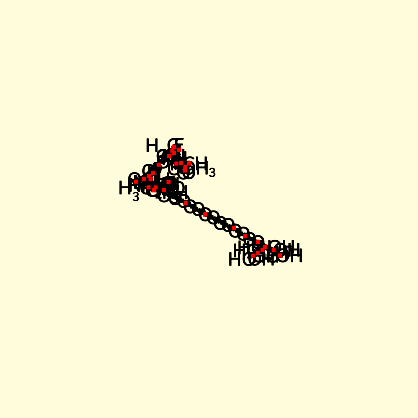 CC[C@@]1(O)C(=O)OCc2c1cc1n(c2=O)Cc2c-1nc1cc(F)c(C)c3c1c2[C@@H](NC(=O)OCc1ccc(NC(=O)[C@H](CCCNC(N)=O)NC(=O)[C@@H](NC(=O)[C@H](CCC(=O)NCCOCCOCCOCCOCCOCCOCCOCCOCCOCCOCCOCCOCCN(C[C@H](O)[C@@H](O)[C@H](O)[C@H](O)CO)C[C@H](O)[C@@H](O)[C@H](O)[C@H](O)CO)NC(=O)CCCCCN2C(=O)C=CC2=O)C(C)C)cc1)CC3